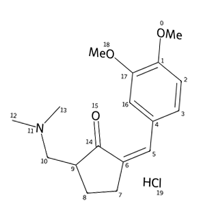 COc1ccc(C=C2CCC(CN(C)C)C2=O)cc1OC.Cl